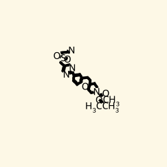 CC(C)(C)OC(=O)N1CCC2(CCc3cc(-c4ncc(CS(=O)(=O)CC#N)cn4)ccc3O2)CC1